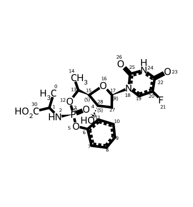 CC(N[P@@](=O)(Oc1ccccc1)OC(C)[C@H]1O[C@@H](n2cc(F)c(=O)[nH]c2=O)C[C@@H]1O)C(=O)O